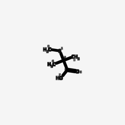 CSC(C)(C)C(=O)O